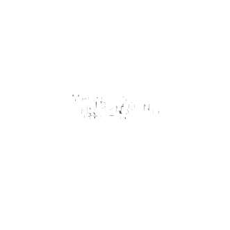 COc1ncc(-c2ccc3ncc(OCCN4CCOCC4)c(=O)n3c2)cc1NS(=O)(=O)C1CCCCC1